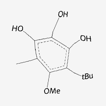 COc1c(C)c(O)c(O)c(O)c1C(C)(C)C